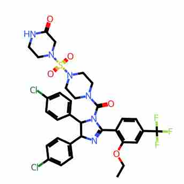 CCOc1cc(C(F)(F)F)ccc1C1=NC(c2ccc(Cl)cc2)C(c2ccc(Cl)cc2)N1C(=O)N1CCN(S(=O)(=O)N2CCNC(=O)C2)CC1